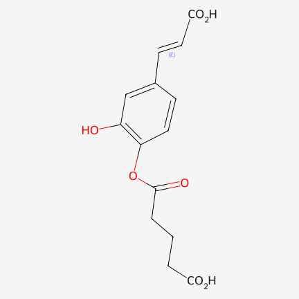 O=C(O)/C=C/c1ccc(OC(=O)CCCC(=O)O)c(O)c1